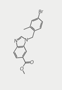 COC(=O)c1ccc2ncn(Cc3ccc(Br)cc3C)c2c1